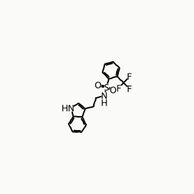 O=S(=O)(NCCc1c[nH]c2ccccc12)c1ccccc1C(F)(F)F